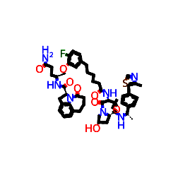 Cc1ncsc1-c1ccc([C@H](C)NC(=O)[C@@H]2C[C@@H](O)CN2C(=O)[C@@H](NC(=O)CCCCCc2ccc(F)c(OC[C@H](CCC(N)=O)NC(=O)[C@@H]3Cc4cccc5c4N3C(=O)CCC5)c2)C(C)(C)C)cc1